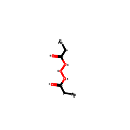 CC(=O)CC(=O)OOOC(=O)CC(C)=O